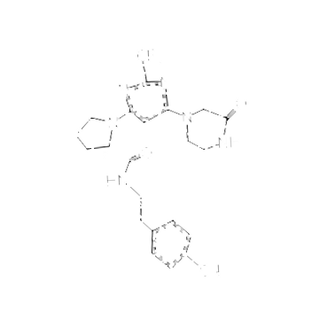 N#Cc1ccc(CCNC(=O)[C@@H]2CCCN2c2cc(N3CCNC(=O)C3)nc(C(F)(F)F)n2)cc1